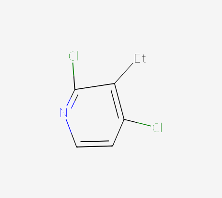 CCc1c(Cl)ccnc1Cl